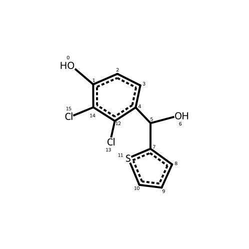 Oc1ccc(C(O)c2cccs2)c(Cl)c1Cl